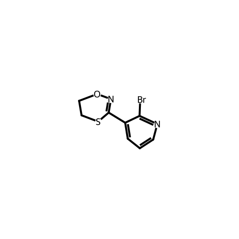 Brc1ncccc1C1=NOCCS1